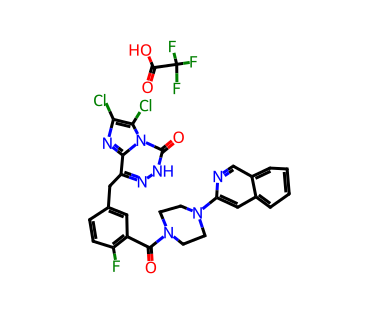 O=C(O)C(F)(F)F.O=C(c1cc(Cc2n[nH]c(=O)n3c(Cl)c(Cl)nc23)ccc1F)N1CCN(c2cc3ccccc3cn2)CC1